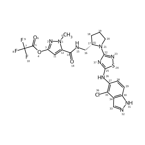 Cn1nc(OC(=O)C(F)(F)F)cc1C(=O)NC[C@@H]1CCCN1c1nsc(Nc2ccc3[nH]ncc3c2Cl)n1